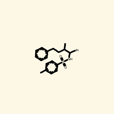 Cc1ccc(S(=O)(=O)NC(C(C)C)C(C)CCc2ccccc2)cc1